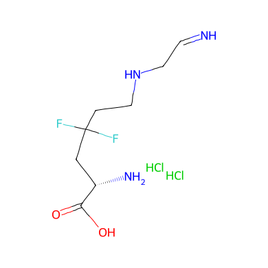 Cl.Cl.N=CCNCCC(F)(F)C[C@H](N)C(=O)O